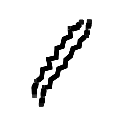 O=C=NCCCCCCCCCCN=C=O.O=C=NCCCCCCCCCN=C=O